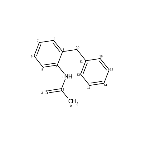 CC(=S)Nc1ccccc1Cc1ccccc1